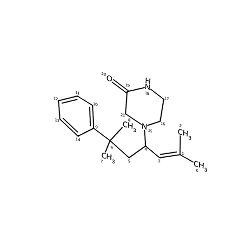 CC(C)=CC(CC(C)(C)c1ccccc1)N1CCNC(=O)C1